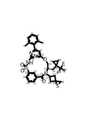 Cc1cccc(C)c1-c1cc2nc(n1)NS(=O)(=O)c1cccc(c1)C(=O)N(C1CC3(CS3)C1)[C@H](CC1(C(F)(F)F)CC1)CO2